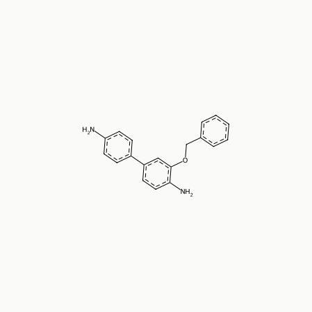 Nc1ccc(-c2ccc(N)c(OCc3ccccc3)c2)cc1